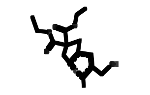 CCOC(=O)C1(C(=O)OCC)Cc2cc(C)c(CO)cc2C1